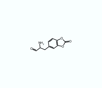 NC(C=O)Cc1ccc2oc(=O)oc2c1